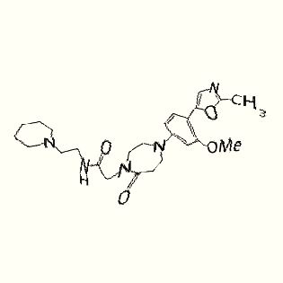 COc1cc(N2CCC(=O)N(CC(=O)NCCN3CCCCC3)CC2)ccc1-c1cnc(C)o1